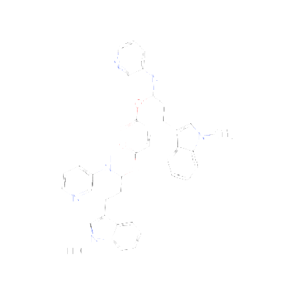 Cn1cc(CCC(Nc2cccnc2)OC(=O)/C=C\C(=O)OC(CCc2cn(C)c3ccccc23)Nc2cccnc2)c2ccccc21